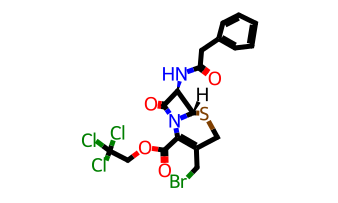 O=C(Cc1ccccc1)N[C@@H]1C(=O)N2C(C(=O)OCC(Cl)(Cl)Cl)=C(CBr)CS[C@@H]12